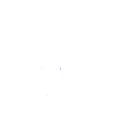 O=C(c1ncc(Cl)cc1NS(=O)(=O)c1ccc(Cl)c(C(F)(F)F)c1)N1CCc2ccccc21